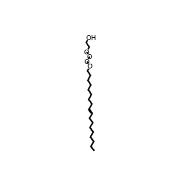 CCCCCCCCC=CCCCCCCCCOOOOCCO